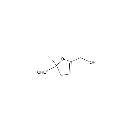 CC1(C=O)CC=C(CO)O1